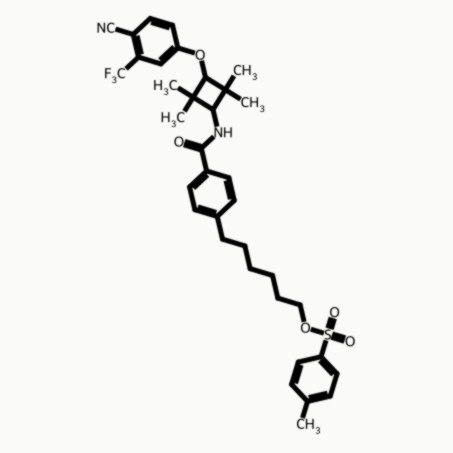 Cc1ccc(S(=O)(=O)OCCCCCCc2ccc(C(=O)NC3C(C)(C)C(Oc4ccc(C#N)c(C(F)(F)F)c4)C3(C)C)cc2)cc1